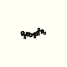 N=C(Cc1ccc(N2CC(CNC(=O)c3ccc(Cl)s3)OC2=O)cc1)Nc1ccccn1